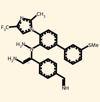 CSc1cccc(-c2ccc(-n3cc(C(F)(F)F)nc3C)c(N(N)/C(=C\N)c3ccc(C=N)cc3)c2)c1